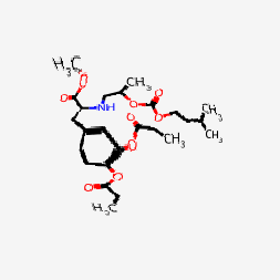 CCC(=O)Oc1ccc(C[C@H](NCC(C)OC(=O)OCCC(C)C)C(=O)OC)cc1OC(=O)CC